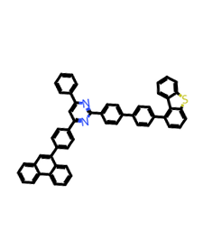 c1ccc(-c2cc(-c3ccc(-c4cc5ccccc5c5ccccc45)cc3)nc(-c3ccc(-c4ccc(-c5cccc6sc7ccccc7c56)cc4)cc3)n2)cc1